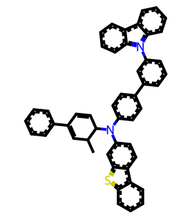 CC1C=C(c2ccccc2)C=CC1N(c1ccc(-c2cccc(-n3c4ccccc4c4ccccc43)c2)cc1)c1ccc2c(c1)sc1ccccc12